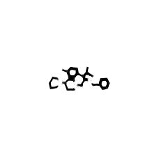 Cc1ccc(-c2c(C)cn(Cc3ccccc3)c2C(=O)N2CCC(N3CCCCC3)CC2)cc1